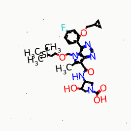 Cc1c(C(=O)NC2CN(C(=O)O)CC2O)c2ncnc(-c3ccc(F)cc3OCC3CC3)c2n1COCC[Si](C)(C)C